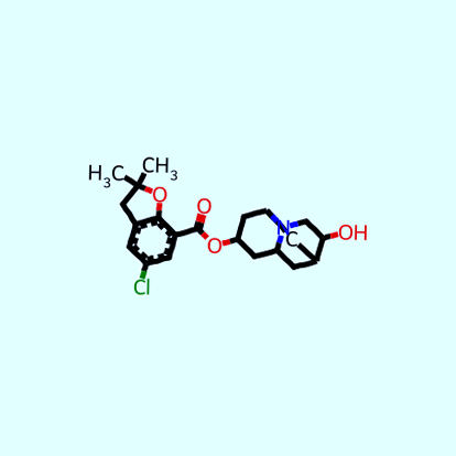 CC1(C)Cc2cc(Cl)cc(C(=O)OC3CC4CC5CC(C3)N4CC5O)c2O1